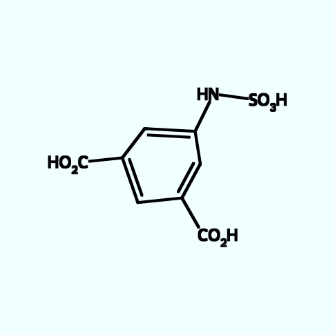 O=C(O)c1cc(NS(=O)(=O)O)cc(C(=O)O)c1